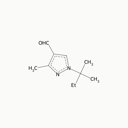 CCC(C)(C)n1cc(C=O)c(C)n1